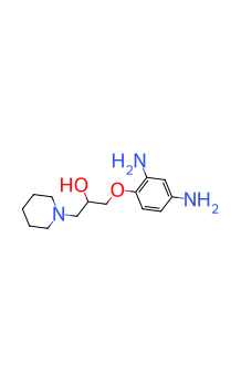 Nc1ccc(OCC(O)CN2CCCCC2)c(N)c1